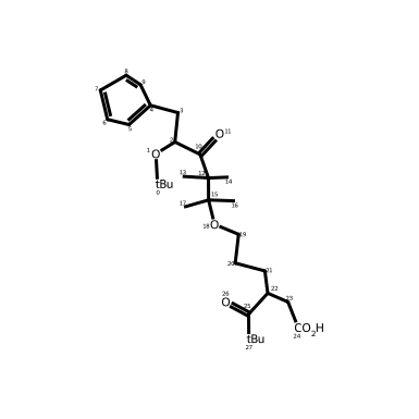 CC(C)(C)OC(Cc1ccccc1)C(=O)C(C)(C)C(C)(C)OCCCC(CC(=O)O)C(=O)C(C)(C)C